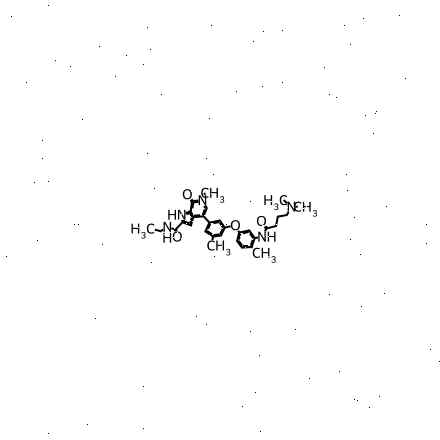 CCNC(=O)c1cc2c(-c3cc(C)cc(Oc4ccc(C)c(NC(=O)CCCN(C)C)c4)c3)cn(C)c(=O)c2[nH]1